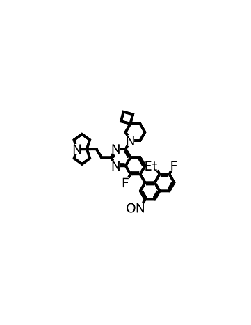 CCc1c(F)ccc2cc(N=O)cc(-c3ccc4c(N5CCCC6(CCC6)C5)nc(CCC56CCCN5CCC6)nc4c3F)c12